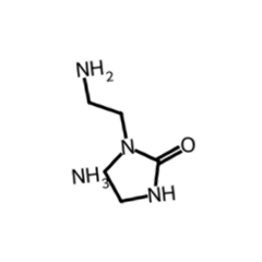 N.NCCN1CCNC1=O